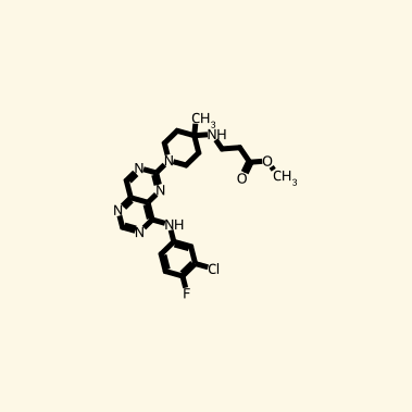 COC(=O)CCNC1(C)CCN(c2ncc3ncnc(Nc4ccc(F)c(Cl)c4)c3n2)CC1